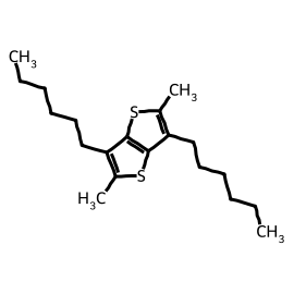 CCCCCCc1c(C)sc2c(CCCCCC)c(C)sc12